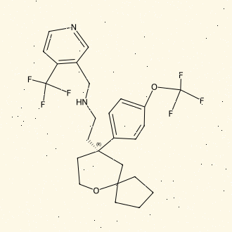 FC(F)(F)Oc1ccc([C@]2(CCNCc3cnccc3C(F)(F)F)CCOC3(CCCC3)C2)cc1